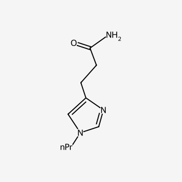 CCCn1cnc(CCC(N)=O)c1